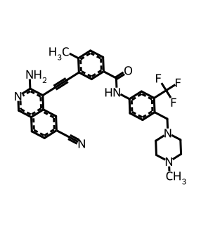 Cc1ccc(C(=O)Nc2ccc(CN3CCN(C)CC3)c(C(F)(F)F)c2)cc1C#Cc1c(N)ncc2ccc(C#N)cc12